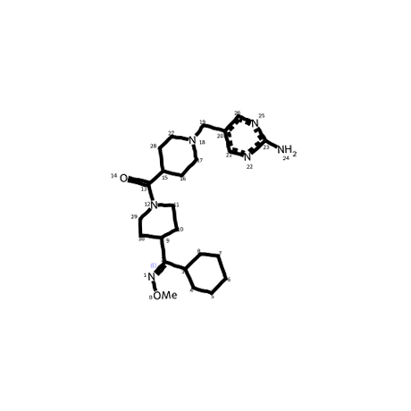 CO/N=C(\C1CCCCC1)C1CCN(C(=O)C2CCN(Cc3cnc(N)nc3)CC2)CC1